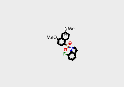 CN[C@H]1CCc2c(S(=O)(=O)n3ccc4cccc(F)c43)ccc(OC)c2C1